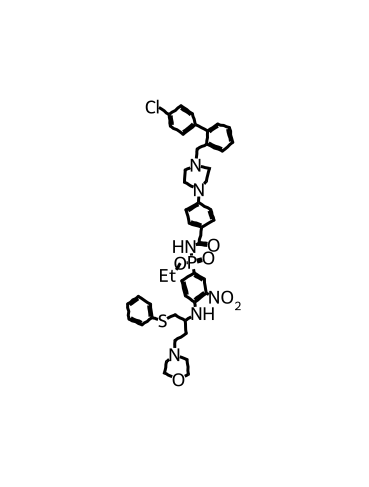 CCOP(=O)(NC(=O)c1ccc(N2CCN(Cc3ccccc3-c3ccc(Cl)cc3)CC2)cc1)c1ccc(NC(CCN2CCOCC2)CSc2ccccc2)c([N+](=O)[O-])c1